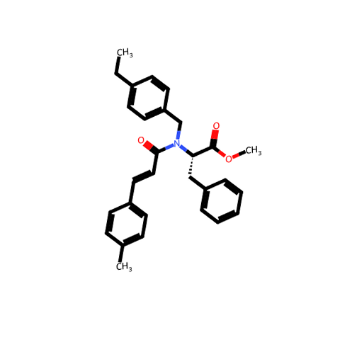 CCc1ccc(CN(C(=O)/C=C/c2ccc(C)cc2)[C@@H](Cc2ccccc2)C(=O)OC)cc1